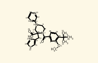 COc1cc(C(=O)N2CCN(c3cnccn3)CC2(Cc2cscn2)C(=O)O)ccc1C(C)(C)C